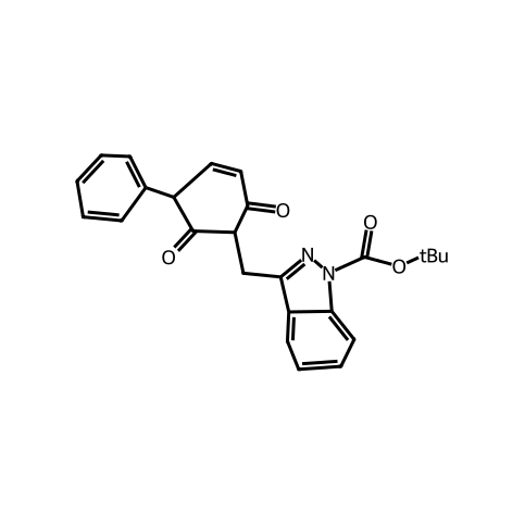 CC(C)(C)OC(=O)n1nc(CC2C(=O)C=CC(c3ccccc3)C2=O)c2ccccc21